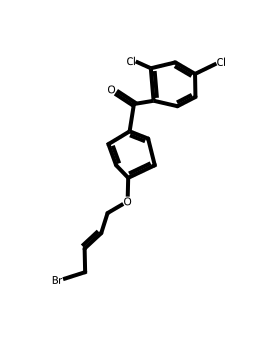 O=C(c1ccc(OC/C=C/CBr)cc1)c1ccc(Cl)cc1Cl